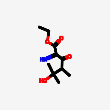 CCOC(=O)C(=N)C(=O)C(C)C(C)(C)O